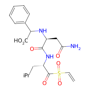 C=CS(=O)(=O)C(=O)[C@H](CC(C)C)NC(=O)[C@H](CC(N)=O)NC(C(=O)O)c1ccccc1